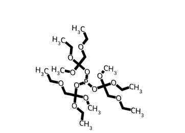 CCOCC(OC)(OCC)OP(OC(COCC)(OC)OCC)OC(COCC)(OC)OCC